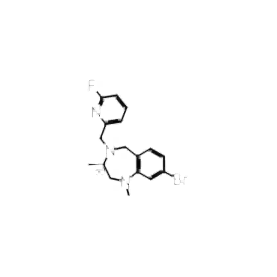 C[C@@H]1CN(C)c2cc(Br)ccc2CN1Cc1cccc(F)n1